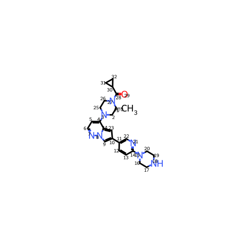 C[C@@H]1CN(c2ccnn3cc(-c4ccc(N5CCNCC5)nc4)cc23)CCN1C(=O)C1CC1